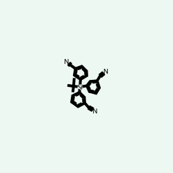 CC(C)(C)[Si](c1cccc(C#N)c1)(c1cccc(C#N)c1)c1cccc(C#N)c1